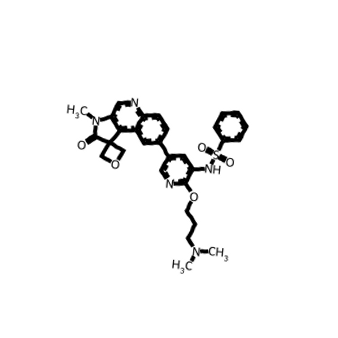 CN(C)CCCOc1ncc(-c2ccc3ncc4c(c3c2)C2(COC2)C(=O)N4C)cc1NS(=O)(=O)c1ccccc1